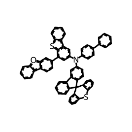 c1ccc(-c2ccc(N(c3ccc4c(c3)-c3ccccc3C43c4ccccc4Sc4ccccc43)c3cc(-c4ccc5c(c4)oc4ccccc45)c4sc5ccccc5c4c3)cc2)cc1